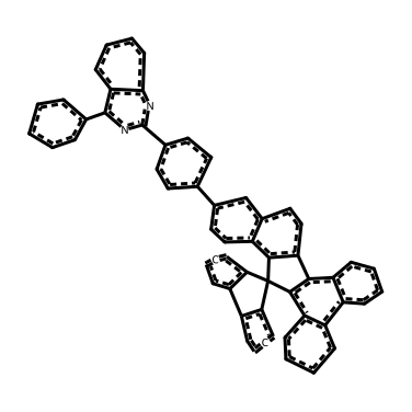 c1ccc(-c2nc(-c3ccc(-c4ccc5c6c(ccc5c4)-c4c(c5ccccc5c5ccccc45)C64c5ccccc5-c5ccccc54)cc3)nc3ccccc23)cc1